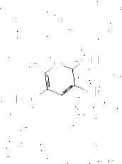 CC1=COC(O)C(C(F)(F)F)=C1